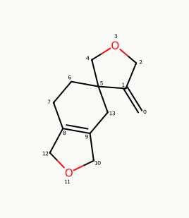 C=C1COCC12CCC1=C(COC1)C2